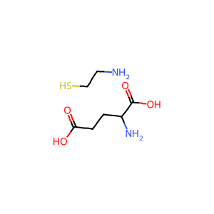 NC(CCC(=O)O)C(=O)O.NCCS